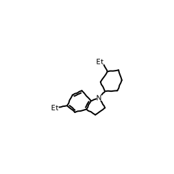 CCc1ccc2c(c1)CCN2C1CCCC(CC)C1